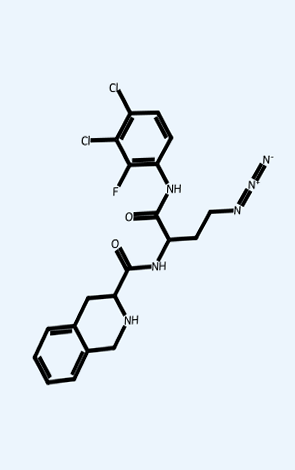 [N-]=[N+]=NCCC(NC(=O)C1Cc2ccccc2CN1)C(=O)Nc1ccc(Cl)c(Cl)c1F